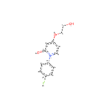 O=c1cc(OCCO)ccn1-c1ccc(F)cc1